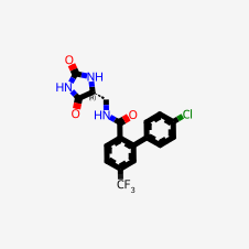 O=C1NC(=O)[C@@H](CNC(=O)c2ccc(C(F)(F)F)cc2-c2ccc(Cl)cc2)N1